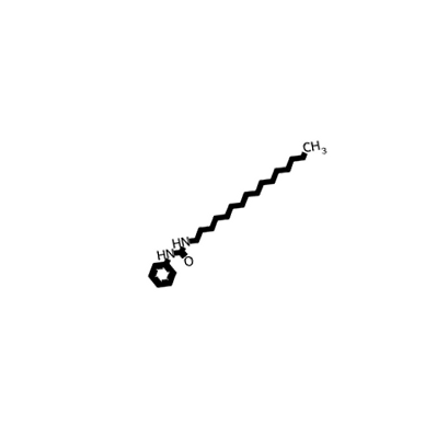 CCCCCCCCCCCCCCCCNC(=O)Nc1ccccc1